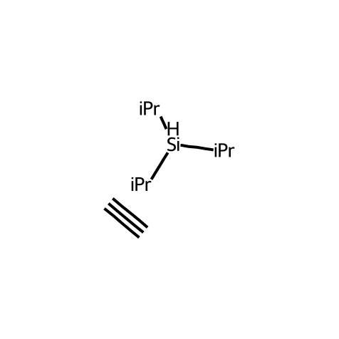 C#C.CC(C)[SiH](C(C)C)C(C)C